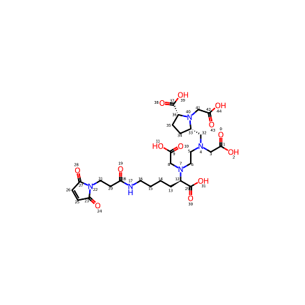 O=C(O)CN(CCN(CC(=O)O)[C@H](CCCCNC(=O)CCN1C(=O)C=CC1=O)C(=O)O)C[C@@H]1CC[C@H](C(=O)O)N1CC(=O)O